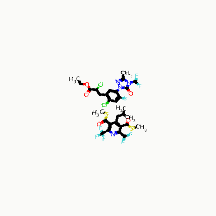 CCOC(=O)C(Cl)Cc1cc(-n2nc(C)n(C(F)F)c2=O)c(F)cc1Cl.CSC(=O)c1c(C(F)F)nc(C(F)(F)F)c(C(=O)SC)c1CC(C)C